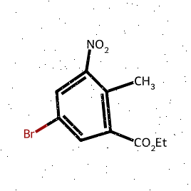 CCOC(=O)c1cc(Br)cc([N+](=O)[O-])c1C